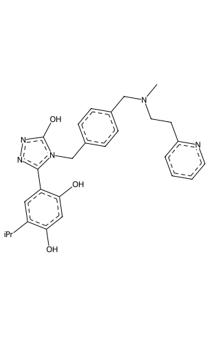 CC(C)c1cc(-c2nnc(O)n2Cc2ccc(CN(C)CCc3ccccn3)cc2)c(O)cc1O